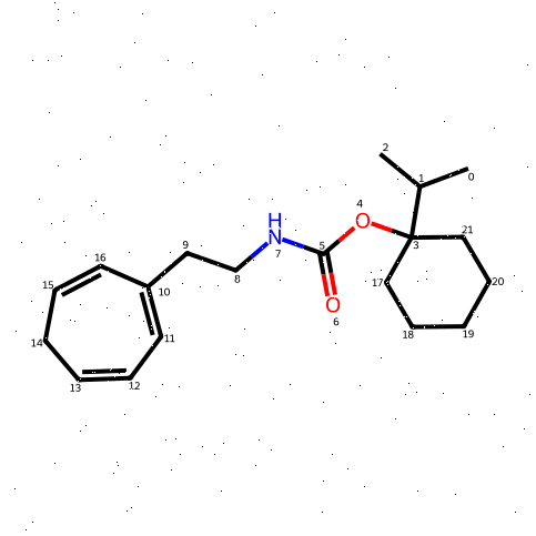 CC(C)C1(OC(=O)NCCC2=CC=CCC=C2)CCCCC1